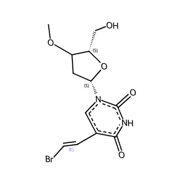 COC1C[C@@H](n2cc(/C=C/Br)c(=O)[nH]c2=O)O[C@H]1CO